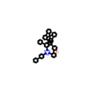 c1ccc(-c2ccc(-c3nc(-c4cccc(-c5ccccc5)c4)nc(-c4cccc5oc6ccc(-c7ccc(-c8cccc9c8C8(c%10ccccc%10-c%10ccccc%108)c8ccccc8-9)cc7)cc6c45)n3)cc2)cc1